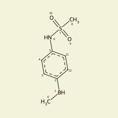 CBc1ccc(NS(C)(=O)=O)cc1